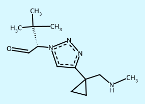 CNCC1(c2cn([C@H](C=O)C(C)(C)C)nn2)CC1